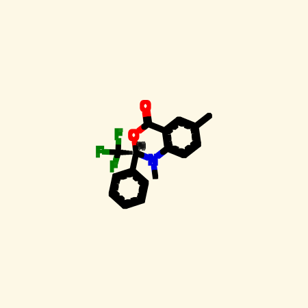 Cc1ccc2c(c1)C(=O)O[C@@](c1ccccc1)(C(F)(F)F)N2C